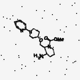 COC(=O)N1CCCC(N)C1COC1CCN(c2ccccn2)CC1